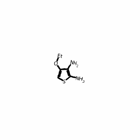 CCOc1csc(N)c1N